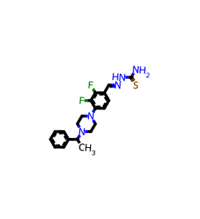 CC(c1ccccc1)N1CCN(c2ccc(C=NNC(N)=S)c(F)c2F)CC1